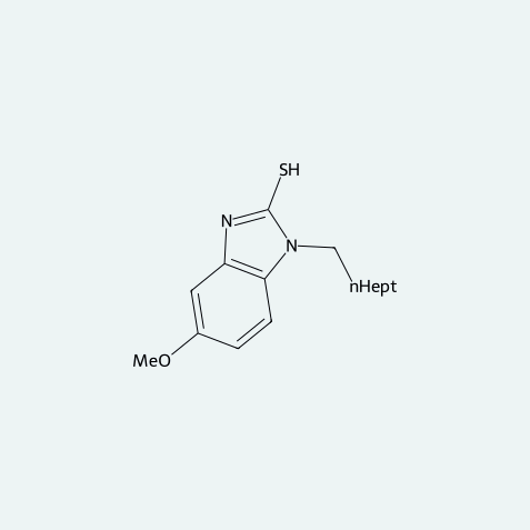 CCCCCCCCn1c(S)nc2cc(OC)ccc21